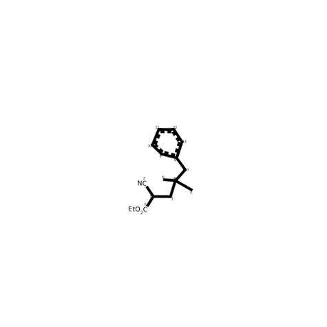 CCOC(=O)C(C#N)CC(C)(C)Cc1ccccc1